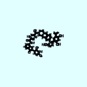 CC(C)c1cc(-c2nnc(O)n2-c2ccc(CN3CCN(C(=O)C4=CNC(C(=O)Nc5cccc6c5CN(C5CCC(=O)NC5=O)C6=O)C=N4)CC3)c(F)c2)c(O)cc1O